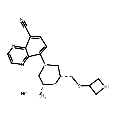 C[C@@H]1CN(c2ccc(C#N)c3nccnc23)C[C@H](CSC2CNC2)O1.Cl